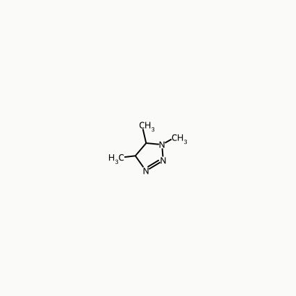 CC1N=NN(C)C1C